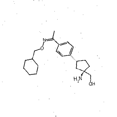 CC(=NOCC1CCCCC1)c1ccc([C@@H]2CC[C@](N)(CO)C2)cc1